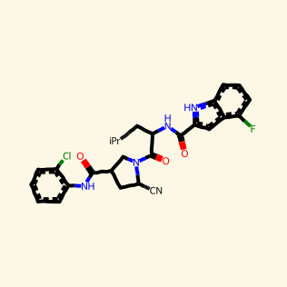 CC(C)CC(NC(=O)c1cc2c(F)cccc2[nH]1)C(=O)N1CC(C(=O)Nc2ccccc2Cl)CC1C#N